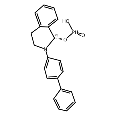 O=[PH](O)O[C@H]1c2ccccc2CCN1c1ccc(-c2ccccc2)cc1